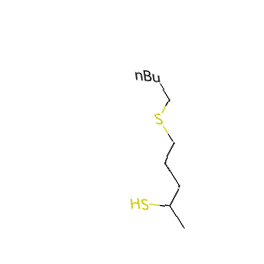 CCCCCSCCCC(C)S